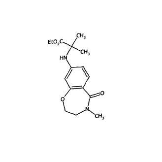 CCOC(=O)C(C)(C)Nc1ccc2c(c1)OCCN(C)C2=O